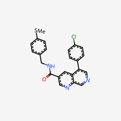 CSc1ccc(CNC(=O)c2cnc3cncc(-c4ccc(Cl)cc4)c3c2)cc1